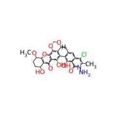 CO[C@@H]1CC[C@H](O)c2c1oc1c3c4c(c(O)c1c2=O)-c1c(cc2c(Cl)c(C)n(N)c(=O)c2c1O)C[C@H]4OCO3